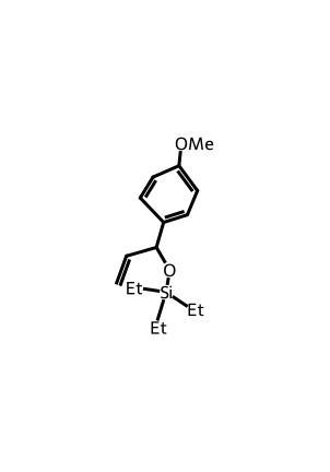 C=CC(O[Si](CC)(CC)CC)c1ccc(OC)cc1